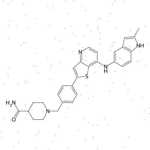 Cc1cc2cc(Nc3ccnc4cc(-c5ccc(CN6CCC(C(N)=O)CC6)cc5)sc34)ccc2[nH]1